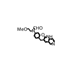 COCCN(C=O)c1ccc(Cc2cc3cnccc3[nH]c2=O)cc1